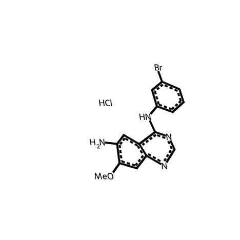 COc1cc2ncnc(Nc3cccc(Br)c3)c2cc1N.Cl